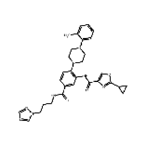 Cc1ccccc1N1CCN(c2ccc(C(=O)NCCCn3cncn3)cc2NC(=O)c2coc(C3CC3)n2)CC1